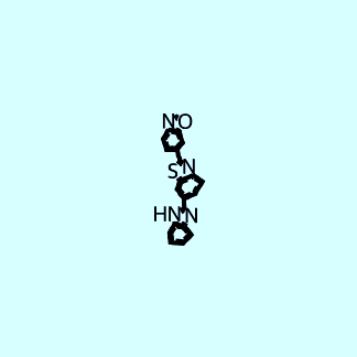 c1ccc2[nH]c(-c3ccc4nc(-c5ccc6ncoc6c5)sc4c3)nc2c1